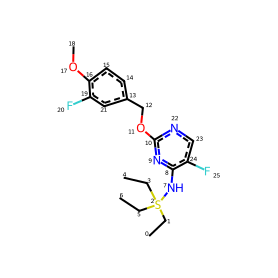 CCS(CC)(CC)Nc1nc(OCc2ccc(OC)c(F)c2)ncc1F